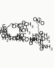 COc1cc2cc(c1Cl)N(C)CC[C@H](OC(=O)Nc1ccc(NC(=O)[C@H](CCCNC(N)=O)NC(=O)[C@@H](NC(=O)CCCCCN3C(=O)C=CC3=O)C(C)C)cc1C)[C@]1(C)O[C@H]1[C@H](C)[C@@H]1C[C@@](O)(NC(=O)O1)[C@H](OC)/C=C/C=C(\C)C2